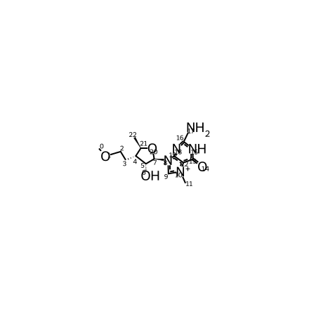 COCC[C@H]1[C@@H](O)[C@H](n2c[n+](C)c3c(=O)[nH]c(N)nc32)O[C@@H]1C